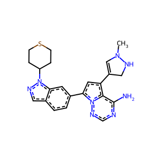 CN1C=C(c2cc(-c3ccc4cnn(C5CCSCC5)c4c3)n3ncnc(N)c23)CN1